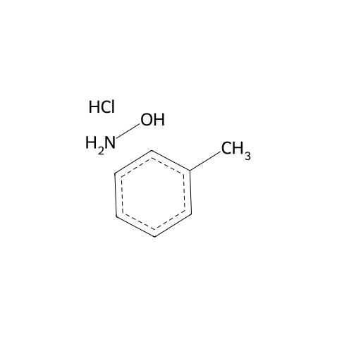 Cc1ccccc1.Cl.NO